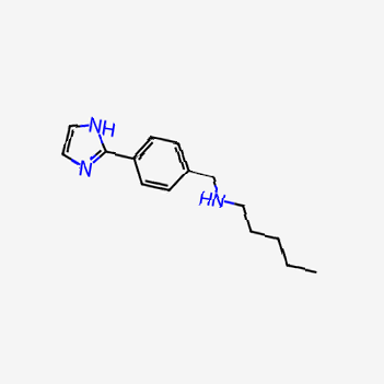 CCCCCNCc1ccc(-c2ncc[nH]2)cc1